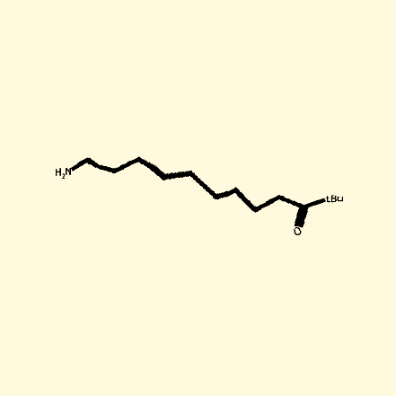 CC(C)(C)C(=O)CCCCCCCCCN